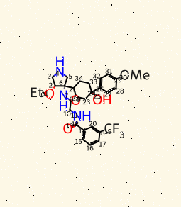 CCO[C@H]1CNC[C@@]1(NC(=O)CNC(=O)c1cccc(C(F)(F)F)c1)C1CCC(O)(c2ccc(OC)cc2)CC1